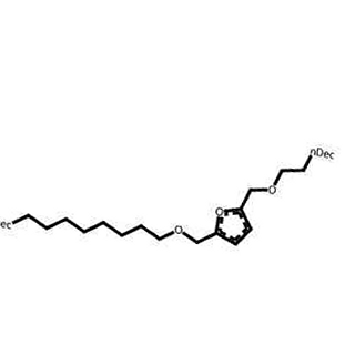 CCCCCCCCCCCCCCCCCCOCc1ccc(COCCCCCCCCCCCC)o1